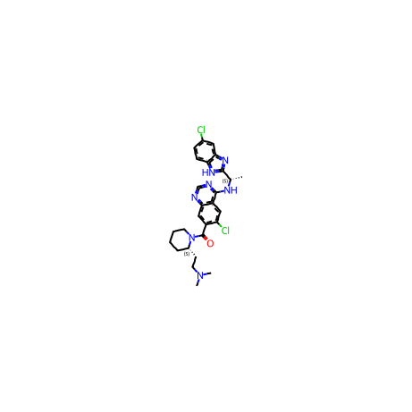 C[C@H](Nc1ncnc2cc(C(=O)N3CCCC[C@H]3CCN(C)C)c(Cl)cc12)c1nc2cc(Cl)ccc2[nH]1